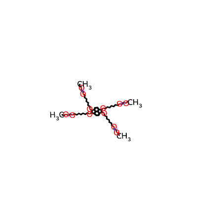 CCO/C=C/OCCCCCCCOC1=C(OCCCCCCCO/C=C/OCC)c2ccc3c4c(ccc1c24)C(OCCCCCCCO/C=C/OCC)=C3OCCCCCCCO/C=C/OCC